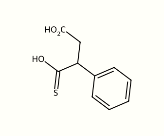 O=C(O)CC(C(O)=S)c1ccccc1